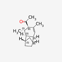 CC(=O)[C@H]1C(C)=C[C@H]2[C@@H]3CC[C@@H](C3)[C@H]2[C@@H]1C